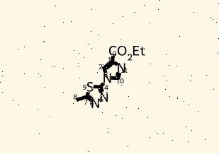 CCOC(=O)c1cn(-c2nnc(C)s2)cn1